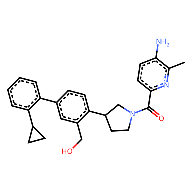 Cc1nc(C(=O)N2CCC(c3ccc(-c4ccccc4C4CC4)cc3CO)C2)ccc1N